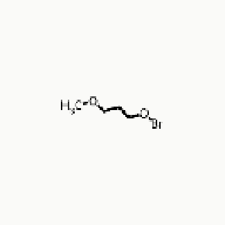 COCCCOBr